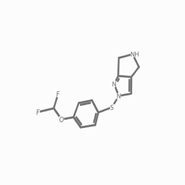 FC(F)Oc1ccc(Sn2cc3c(n2)CNC3)cc1